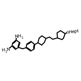 CCCCCCCC1CCC(CCC2CCC(c3ccc(Cc4cc(N)cc(N)c4)cc3)CC2)CC1